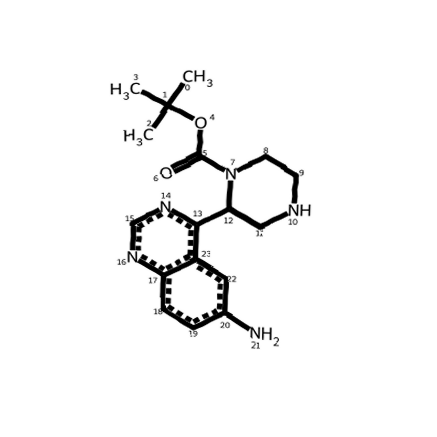 CC(C)(C)OC(=O)N1CCNCC1c1ncnc2ccc(N)cc12